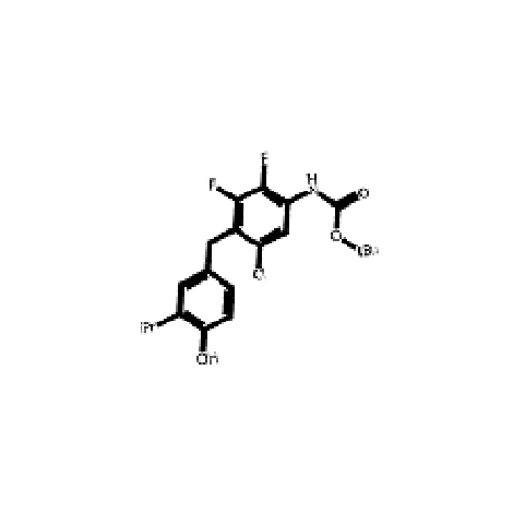 CC(C)c1cc(Cc2c(Cl)cc(NC(=O)OC(C)(C)C)c(F)c2F)ccc1O